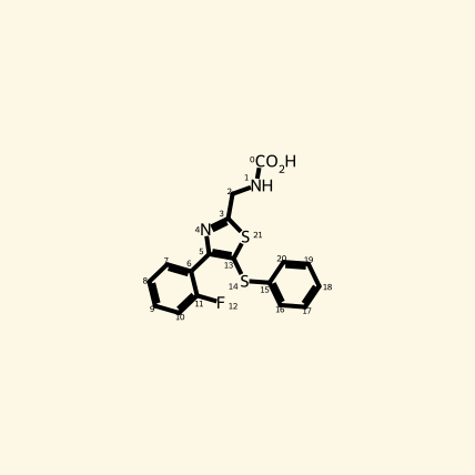 O=C(O)NCc1nc(-c2ccccc2F)c(Sc2ccccc2)s1